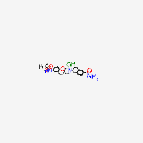 CS(=O)(=O)Nc1ccc2c(c1)CCC1(CCN(C3CCc4cc(C(N)=O)ccc4C3)CC1)O2.Cl